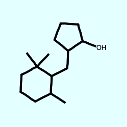 CC1CCCC(C)(C)C1CC1CCCC1O